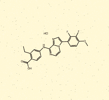 CCc1cc(Nc2nccn3c(-c4ccc(OC)c(F)c4F)cnc23)ccc1C(=O)O.Cl